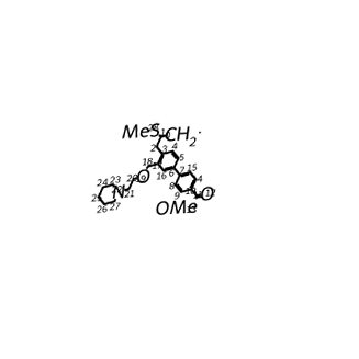 [CH2]C(Cc1ccc(-c2ccc(C(=O)OC)cc2)cc1COCCN1CCCCC1)SC